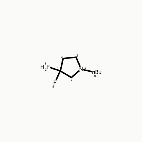 CCCCN1CCC(F)(P)C1